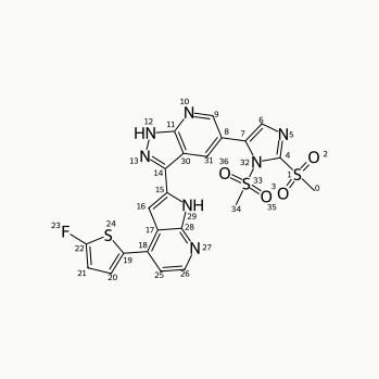 CS(=O)(=O)c1ncc(-c2cnc3[nH]nc(-c4cc5c(-c6ccc(F)s6)ccnc5[nH]4)c3c2)n1S(C)(=O)=O